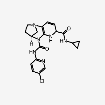 O=C(NC1CC1)C1C=CC2=C(N1)N(C(=O)Nc1ccc(Cl)cn1)[C@H]1CCN2C1